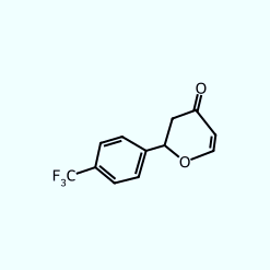 O=C1C=COC(c2ccc(C(F)(F)F)cc2)C1